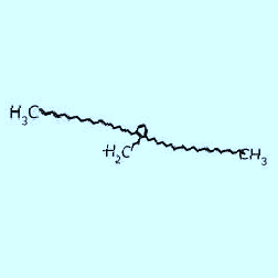 [CH2]CCCc1c(CCCCCCCCCCCCCCCCCCC)cccc1CCCCCCCCCCCCCCCCCCC